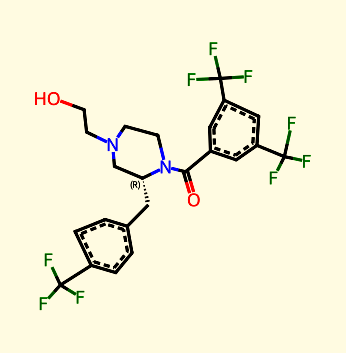 O=C(c1cc(C(F)(F)F)cc(C(F)(F)F)c1)N1CCN(CCO)C[C@H]1Cc1ccc(C(F)(F)F)cc1